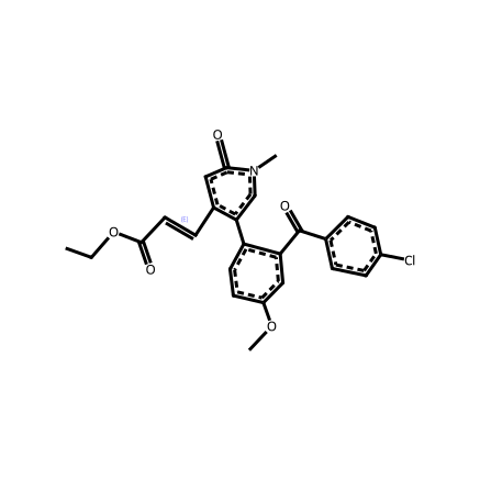 CCOC(=O)/C=C/c1cc(=O)n(C)cc1-c1ccc(OC)cc1C(=O)c1ccc(Cl)cc1